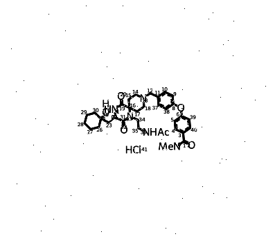 CNC(=O)c1ccc(Oc2ccc(CN3CCC4(CC3)C(=O)N[C@H](CC3(O)CCCCC3)C(=O)N4CCNC(C)=O)cc2)cc1.Cl